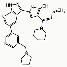 C=C/C=C(\c1cc(-c2n[nH]c3ncc(-c4cncc(CN5CCCC5)c4)cc23)[nH]c1C)N1CCCCC1